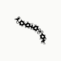 CC(=O)Oc1ccc(-c2ccc(C(C)(C)c3ccc(OC(=O)Oc4ccc(C(C)(C)C)cc4)cc3)cc2)cc1